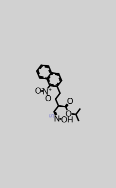 CC(C)OC(=O)C(/C=N\O)CCc1ccc2ccccc2c1[N+](=O)[O-]